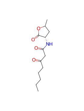 CCCCCC(=O)CC(=O)N[C@H]1CC(C)OC1=O